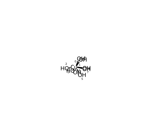 [OH][Cu]([OH])([OH])([OH])([OH])([OH])([OH])[OH]